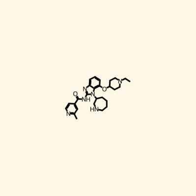 CCN1CCC(Oc2cccc3nc(NC(=O)c4ccnc(C)c4)n(C4CCCCNC4)c23)CC1